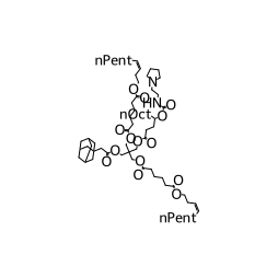 CCCCC/C=C\CCOC(=O)CCCCC(=O)OCC(COC(=O)CCCCC(=O)OCC/C=C\CCCCC)(COC(=O)CCC(CCCCCCCC)OC(=O)NCCN1CCCC1)COC(=O)CC12CC3CC(CC(C3)C1)C2